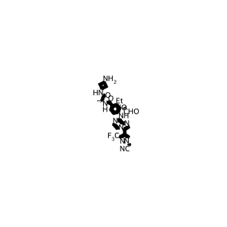 CCc1cc(Nc2nccn3c(-c4cn(CC#N)nc4C(F)(F)F)cnc23)ccc1C(=O)N[C@H](C)C(=O)NC1CC(N)C1.O=CO